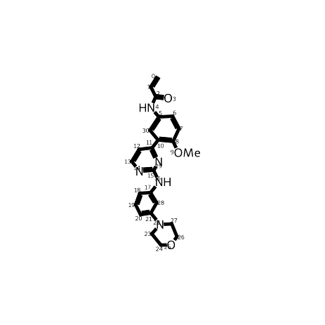 C=CC(=O)Nc1ccc(OC)c(-c2ccnc(Nc3cccc(N4CCOCC4)c3)n2)c1